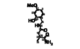 COc1ccc(CNC(=O)[CH][C@H](C)C(N)=O)c(O)c1